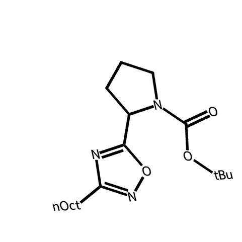 CCCCCCCCc1noc(C2CCCN2C(=O)OC(C)(C)C)n1